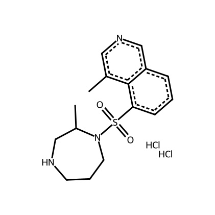 Cc1cncc2cccc(S(=O)(=O)N3CCCNCC3C)c12.Cl.Cl